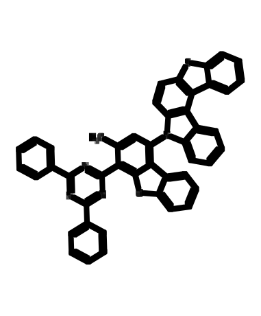 Cc1cc(-n2c3ccccc3c3c4c(ccc32)sc2ccccc24)c2c(oc3ccccc32)c1-c1nc(-c2ccccc2)nc(-c2ccccc2)n1